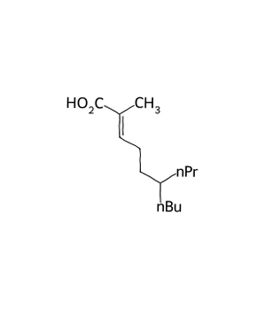 CCCCC(CCC)CC/C=C(\C)C(=O)O